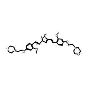 COc1cc(OCCN2CCOCC2)ccc1C=Cc1cc(/C=C/c2ccc(OCCN3CCOCC3)cc2OC)n[nH]1